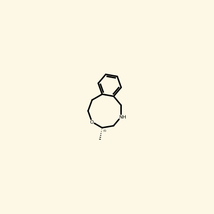 C[C@H]1CNCc2ccccc2CCO1